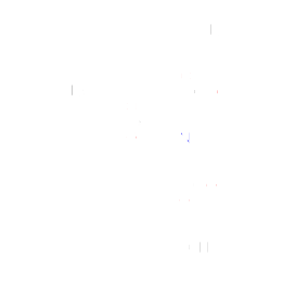 CCCOC(=O)CCN(CCC(=O)OCCC)CCC(=O)OCCC